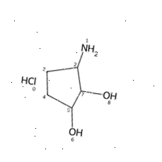 Cl.NC1CCC(O)C1O